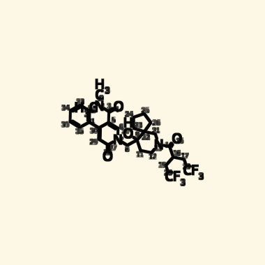 CN(C)C(=O)c1cn(CC2(O)CCN(C(=O)C(CC(F)(F)F)CC(F)(F)F)CC23CCCC3)c(=O)cc1-c1ccccc1